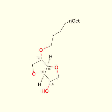 CCCCCCCCCCCCO[C@H]1CO[C@H]2[C@@H]1OC[C@@H]2O